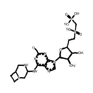 O=P(O)(O)CP(=O)(O)CCC1OC(n2cnc3c(NC4CN5CCC5CN4)nc(Cl)nc32)C(O)C1O